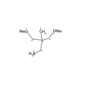 BCC(C)(COC)COC